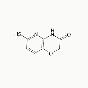 O=C1COc2ccc(S)nc2N1